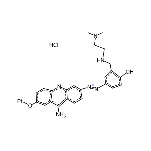 CCOc1ccc2nc3cc(/N=N/c4ccc(O)c(CNCCN(C)C)c4)ccc3c(N)c2c1.Cl